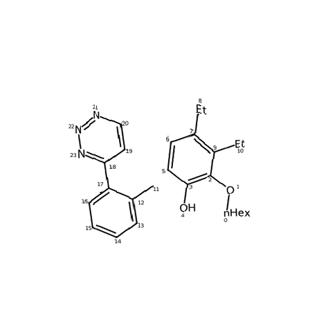 CCCCCCOc1c(O)ccc(CC)c1CC.Cc1ccccc1-c1ccnnn1